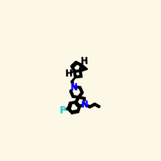 CCCN1CC2(CCN(C[C@@H]3CC45C[C@@H]4C=C[C@H]35)CC2)c2cc(F)ccc21